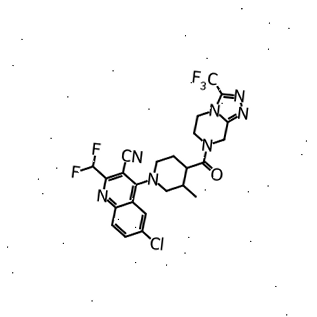 CC1CN(c2c(C#N)c(C(F)F)nc3ccc(Cl)cc23)CCC1C(=O)N1CCn2c(nnc2C(F)(F)F)C1